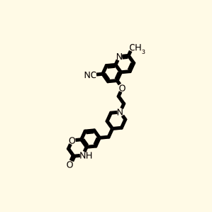 Cc1ccc2c(OCCN3CCC(Cc4ccc5c(c4)NC(=O)CO5)CC3)cc(C#N)cc2n1